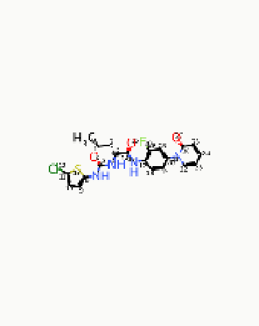 CCC[C@@H](NC(=O)Nc1ccc(Cl)s1)C(=O)Nc1ccc(-n2ccccc2=O)cc1F